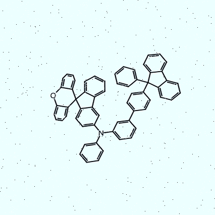 c1ccc(N(c2cccc(-c3ccc(C4(c5ccccc5)c5ccccc5-c5ccccc54)cc3)c2)c2ccc3c(c2)-c2ccccc2C32c3ccccc3Oc3ccccc32)cc1